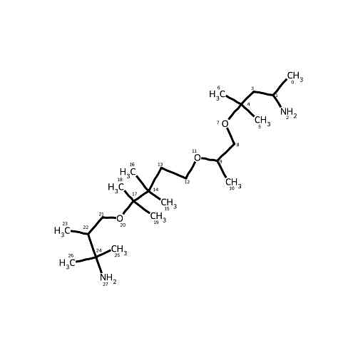 CC(N)CC(C)(C)OCC(C)OCCC(C)(C)C(C)(C)OCC(C)C(C)(C)N